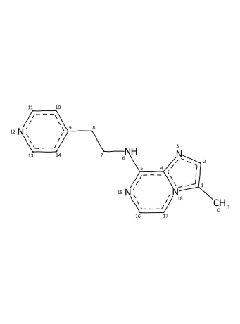 Cc1cnc2c(NCCc3ccncc3)nccn12